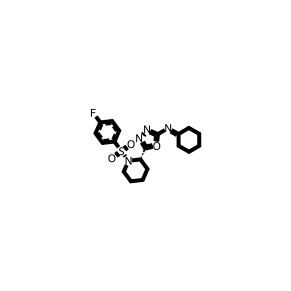 O=S(=O)(c1ccc(F)cc1)N1CCCC[C@H]1c1nnc(N=C2CCCCC2)o1